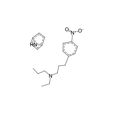 CCCN(CC)CCCc1ccc([N+](=O)[O-])cc1.c1cc2ccc1[nH]2